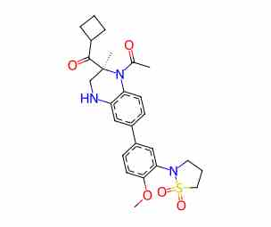 COc1ccc(-c2ccc3c(c2)NC[C@@](C)(C(=O)C2CCC2)N3C(C)=O)cc1N1CCCS1(=O)=O